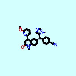 COc1cccc(-c2cc(=O)n(C)c3ccc([C@H](c4ccc(C#N)cc4)c4cncn4C)cc23)n1